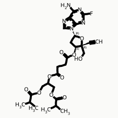 C#C[C@]1(CO)O[C@@H](n2cnc3c(N)nc(F)nc32)C[C@@H]1OC(=O)CCC(=O)OC(COC(=O)C(C)C)COC(=O)C(C)C